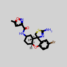 Cc1cc(C(=O)NC2CC[C@@H]3Oc4ccc(Br)cc4C4(CSC(N)=N4)[C@H]3C2)no1